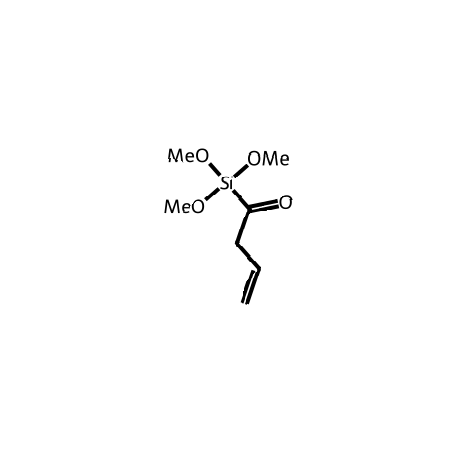 C=CCC(=O)[Si](OC)(OC)OC